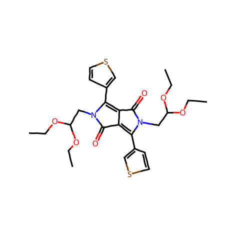 CCOC(CN1C(=O)C2=C(c3ccsc3)N(CC(OCC)OCC)C(=O)C2=C1c1ccsc1)OCC